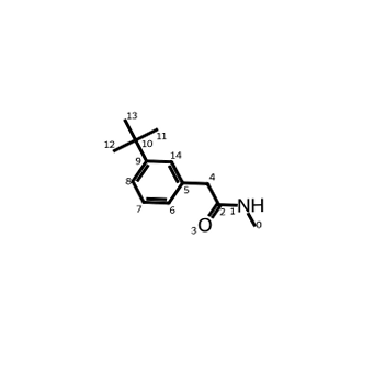 CNC(=O)Cc1cccc(C(C)(C)C)c1